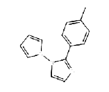 Cc1ccc(-c2nccn2-n2cccc2)cc1